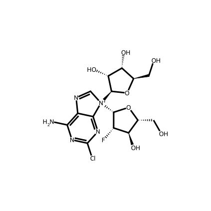 Nc1nc(Cl)nc2c1N=C[N+]2([C@@H]1O[C@H](CO)[C@@H](O)[C@H]1O)[C@@H]1O[C@H](CO)[C@@H](O)[C@@H]1F